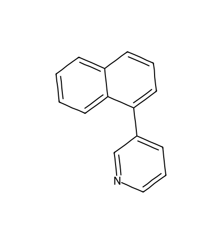 c1cncc(-c2cccc3ccccc23)c1